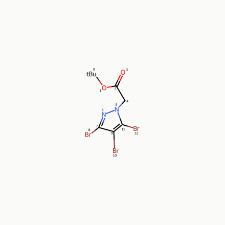 CC(C)(C)OC(=O)Cn1nc(Br)c(Br)c1Br